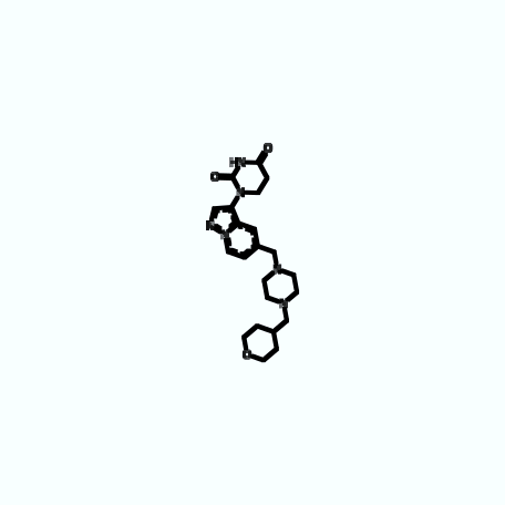 O=C1CCN(c2cnn3ccc(CN4CCN(CC5CCOCC5)CC4)cc23)C(=O)N1